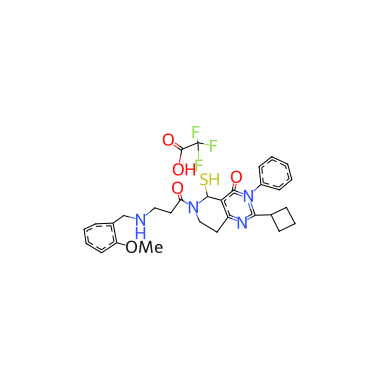 COc1ccccc1CNCCC(=O)N1CCc2nc(C3CCC3)n(-c3ccccc3)c(=O)c2C1S.O=C(O)C(F)(F)F